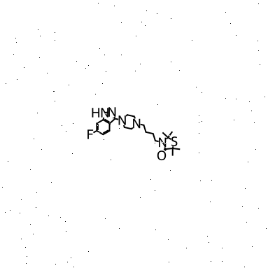 CC1(C)SC(C)(C)N(CCCCN2CCN(c3n[nH]c4cc(F)ccc34)CC2)C1=O